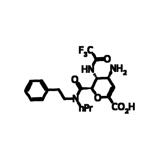 CCCN(CCc1ccccc1)C(=O)[C@@H]1OC(C(=O)O)=C[C@H](N)[C@H]1NC(=O)C(F)(F)F